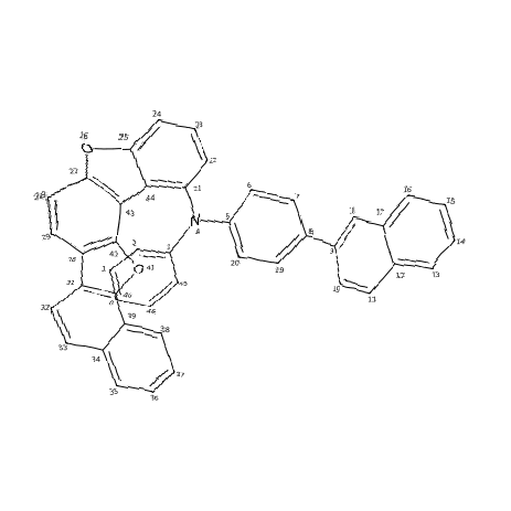 c1ccc(N(c2ccc(-c3ccc4ccccc4c3)cc2)c2cccc3oc4ccc5c6ccc7ccccc7c6oc5c4c23)cc1